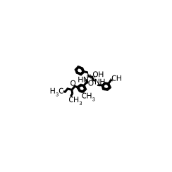 C#Cc1cccc(CNC[C@@H](O)[C@H](Cc2ccccc2)NC(=O)c2cc(C)cc(C(=O)C(CCC)CCC)c2)c1